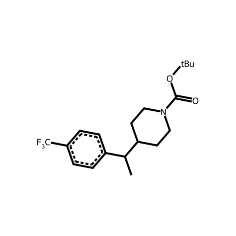 CC(c1ccc(C(F)(F)F)cc1)C1CCN(C(=O)OC(C)(C)C)CC1